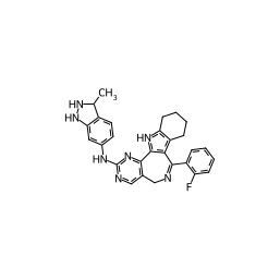 CC1NNc2cc(Nc3ncc4c(n3)-c3[nH]c5c(c3C(c3ccccc3F)=NC4)CCCC5)ccc21